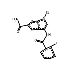 CCn1nc(NC(=O)c2ccccc2F)c2cc(C(N)=O)sc21